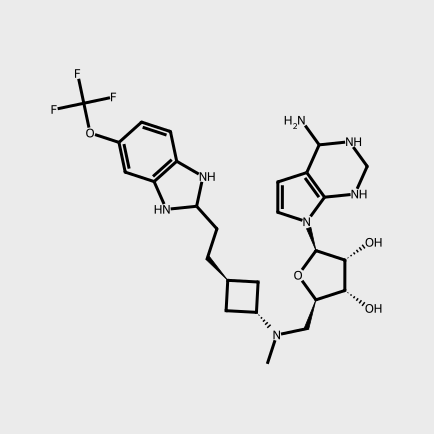 CN(C[C@H]1O[C@@H](n2ccc3c2NCNC3N)[C@H](O)[C@@H]1O)[C@H]1C[C@H](CCC2Nc3ccc(OC(F)(F)F)cc3N2)C1